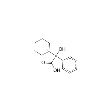 O=C(O)C(O)(C1=CCCCC1)c1ccccc1